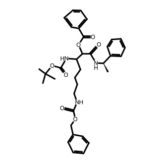 C[C@@H](NC(=O)C(OC(=O)c1ccccc1)C(CCCCNC(=O)OCc1ccccc1)NC(=O)OC(C)(C)C)c1ccccc1